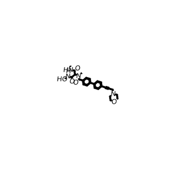 CNC(=O)C(C(=O)NO)N(C)C(=O)c1ccc(-c2ccc(C#CCN3CCOCC3)cc2)cc1